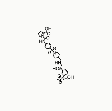 CS(=O)(=O)Nc1cc([C@H](O)CNCC2CCN(S(=O)(=O)c3ccc(NC(=O)N4CCC[C@H]4C(=O)O)cc3)CC2)ccc1O